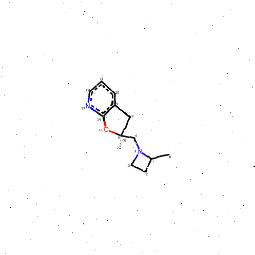 CC1CCN1C[C@]1(C)Cc2cccnc2O1